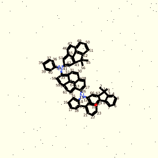 CC1(C)c2ccccc2-c2ccc(N(c3ccccc3-c3ccccc3)c3ccc4ccc5c(N(c6ccccc6)c6cc7c8c(ccc9cccc(c98)C7(C)C)c6)ccc6ccc3c4c65)cc21